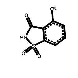 N#Cc1cccc2c1C(=O)NS2(=O)=O